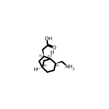 NC[C@H]1CC[C@H]2C[C@@H](CC(=O)O)[C@@H]1C2